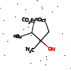 CCCCCCCCCC(C)(O)C(CCCC)C(=O)OCC